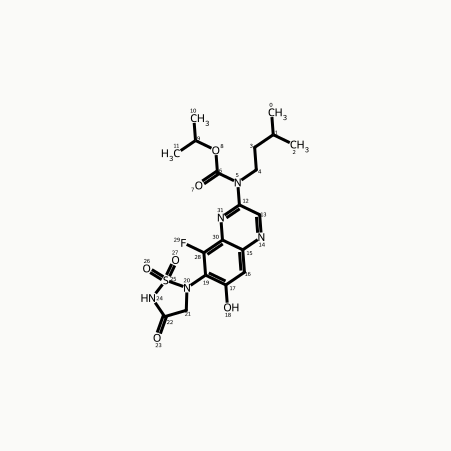 CC(C)CCN(C(=O)OC(C)C)c1cnc2cc(O)c(N3CC(=O)NS3(=O)=O)c(F)c2n1